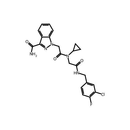 NC(=O)c1nn(CC(=O)N(CC(=O)NCc2ccc(F)c(Cl)c2)C2CC2)c2ccccc12